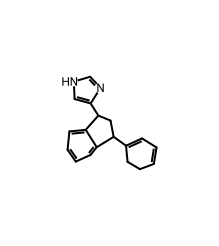 C1=CCCC(C2CC(c3c[nH]cn3)c3ccccc32)=C1